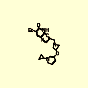 CCc1cc2ncc(CN3CC(OC4=CN(C5CC5)CC=C4)C3)cc2[nH]c1=O